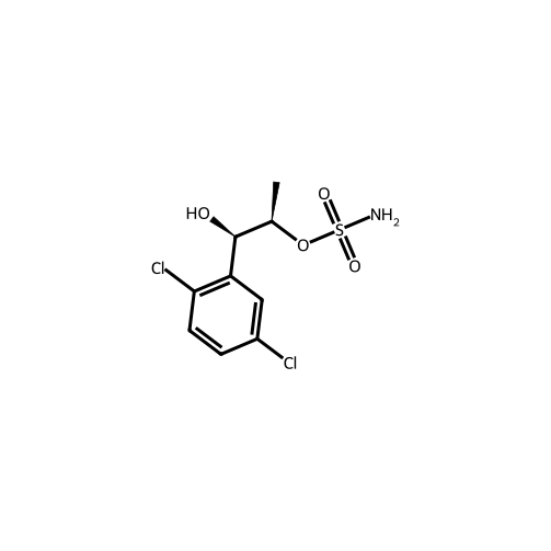 C[C@@H](OS(N)(=O)=O)[C@H](O)c1cc(Cl)ccc1Cl